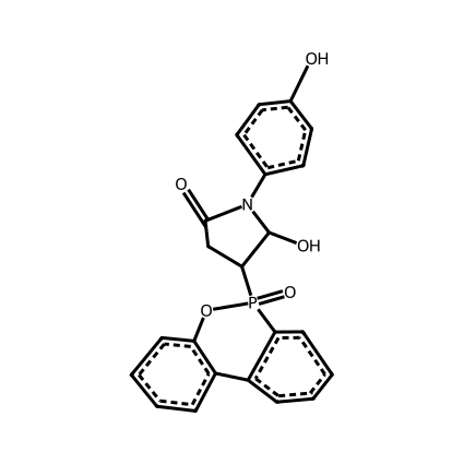 O=C1CC(P2(=O)Oc3ccccc3-c3ccccc32)C(O)N1c1ccc(O)cc1